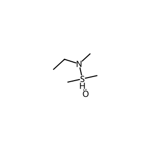 CCN(C)[SH](C)(C)=O